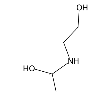 C[C](O)NCCO